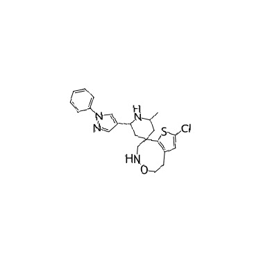 CC1CC2(CNOCCc3cc(Cl)sc32)CC(c2cnn(-c3ccccc3)c2)N1